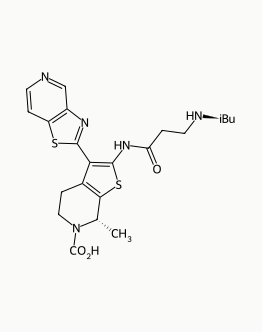 CC[C@H](C)NCCC(=O)Nc1sc2c(c1-c1nc3cnccc3s1)CCN(C(=O)O)[C@H]2C